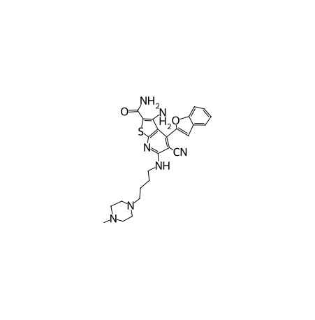 CN1CCN(CCCCNc2nc3sc(C(N)=O)c(N)c3c(-c3cc4ccccc4o3)c2C#N)CC1